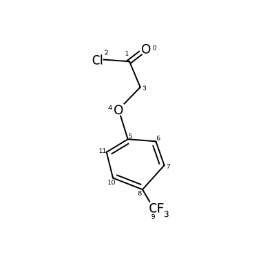 O=C(Cl)COc1ccc(C(F)(F)F)cc1